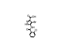 O=C(Nc1[nH]nc(C(=O)O)c1Br)c1ccccc1Cl